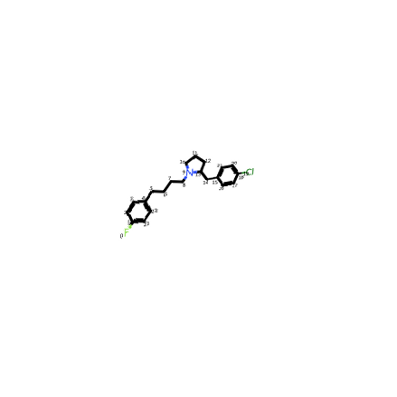 Fc1ccc(CCCCN2CCCC2Cc2ccc(Cl)cc2)cc1